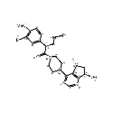 COc1ccc([C@@H](CNC(C)C)C(=O)N2CCN(c3ncnc4c3[C@H](C)C[C@H]4O)CC2)cc1Br